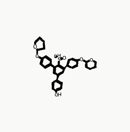 O=[SH](=O)c1c(-c2ccc(OC3CCCCO3)cc2)cc(-c2ccc(O)cc2)cc1-c1ccc(OC2CCCCO2)cc1